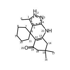 Cc1[nH]nc2c1C1(CCCCC1)C1=C(CC(C)(C)CC1=O)N2